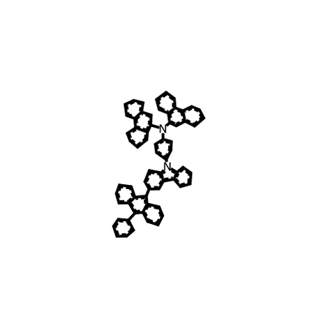 c1ccc(-c2c3ccccc3c(-c3ccc4c(c3)c3ccccc3n4-c3ccc(N(c4cc5ccccc5c5ccccc45)c4cc5ccccc5c5ccccc45)cc3)c3ccccc23)cc1